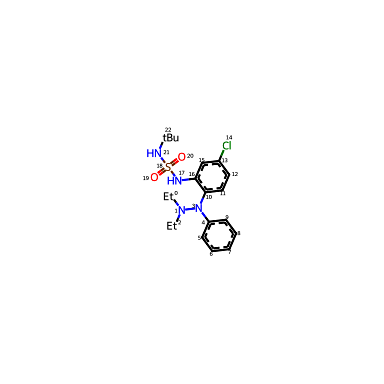 CCN(CC)N(c1ccccc1)c1ccc(Cl)cc1NS(=O)(=O)NC(C)(C)C